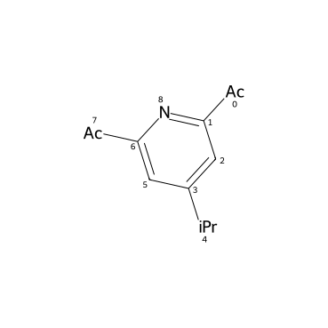 CC(=O)c1cc(C(C)C)cc(C(C)=O)n1